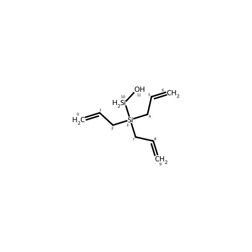 C=CC[Si](CC=C)(CC=C)[SiH2]O